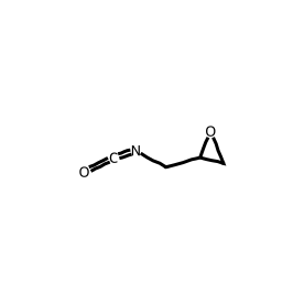 O=C=NCC1CO1